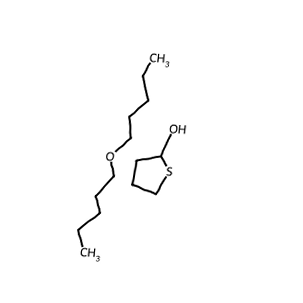 CCCCCOCCCCC.OC1CCCS1